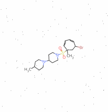 CC1CCN(C2CCN(S(=O)(=O)C3(C)C=CC=CC(Br)C3)CC2)CC1